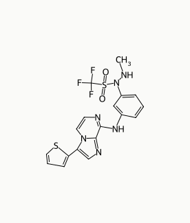 CNN(c1cccc(Nc2nccn3c(-c4cccs4)cnc23)c1)S(=O)(=O)C(F)(F)F